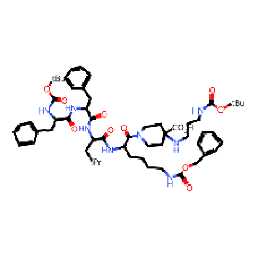 CC(C)CC(NC(=O)C(Cc1ccccc1)NC(=O)C(Cc1ccccc1)NC(=O)OC(C)(C)C)C(=O)NC(CCCCNC(=O)OCc1ccccc1)C(=O)N1CCC(NCCCNC(=O)OC(C)(C)C)(C(=O)O)CC1